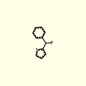 FC(c1cc[c]cc1)c1cccs1